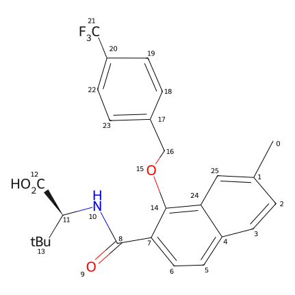 Cc1ccc2ccc(C(=O)N[C@H](C(=O)O)C(C)(C)C)c(OCc3ccc(C(F)(F)F)cc3)c2c1